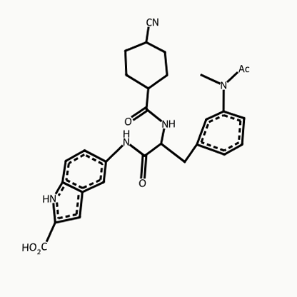 CC(=O)N(C)c1cccc(CC(NC(=O)C2CCC(C#N)CC2)C(=O)Nc2ccc3[nH]c(C(=O)O)cc3c2)c1